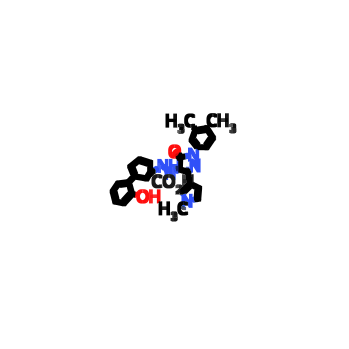 Cc1ccc(N2N=C(c3ccn(C)c3)C(=NNC3(C(=O)O)C=CC=C(c4ccccc4O)C3)C2=O)cc1C